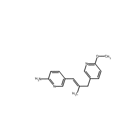 COc1ccc(CC(C)=Cc2ccc(N)nc2)cn1